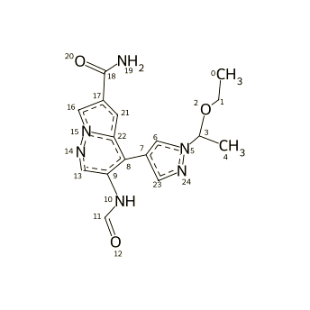 CCOC(C)n1cc(-c2c(NC=O)cnn3cc(C(N)=O)cc23)cn1